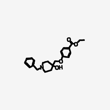 CCOC(=O)c1ccc(OCC2(O)CCN(Cc3ccccc3)CC2)cc1